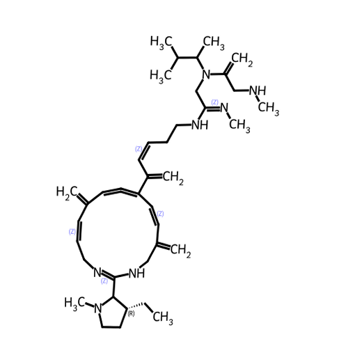 C=C1C=C=C(C(=C)/C=C\CCN/C(CN(C(=C)CNC)C(C)C(C)C)=N\C)/C=C\C(=C)CN/C(C2[C@H](CC)CCN2C)=N\C/C=C\1